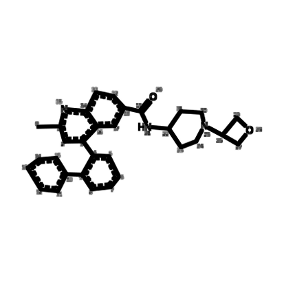 Cc1cc(-c2ccccc2-c2ccccc2)c2cc(C(=O)NC3CCN(C4COC4)CC3)ccc2n1